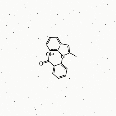 Cc1cc2ccccc2n1-c1ccccc1C(=O)O